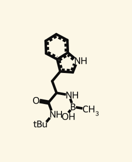 CB(O)NC(Cc1c[nH]c2ccccc12)C(=O)NC(C)(C)C